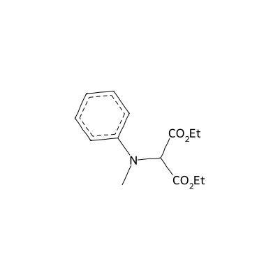 CCOC(=O)C(C(=O)OCC)N(C)c1ccccc1